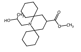 COC(=O)C1CC2(CCCCC2)N(CC(C)O)C2(CCCCC2)C1